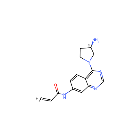 C=CC(=O)Nc1ccc2c(N3CC[C@@H](N)C3)ncnc2c1